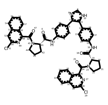 O=C(Nc1ccc(-c2nc[nH]c2-c2ccc(NC(=O)[C@@H]3CCCN3C(=O)c3nc(Cl)cc4ccccc34)cc2)cc1)[C@@H]1CCCN1C(=O)c1nc(Cl)cc2ccccc12